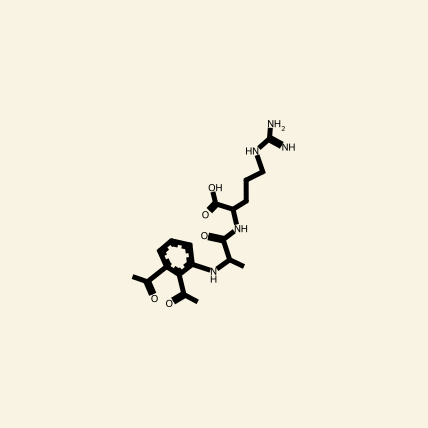 CC(=O)c1cccc(NC(C)C(=O)NC(CCCNC(=N)N)C(=O)O)c1C(C)=O